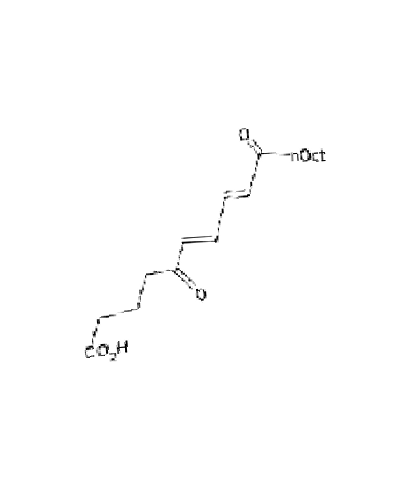 CCCCCCCCC(=O)/C=C/C=C/C(=O)CCCC(=O)O